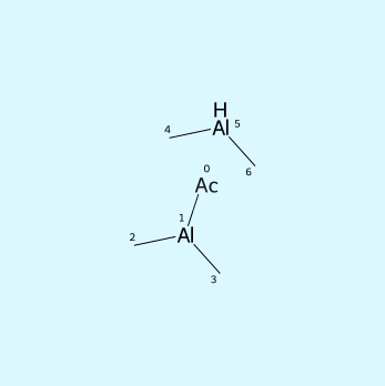 C[C](=O)[Al]([CH3])[CH3].[CH3][AlH][CH3]